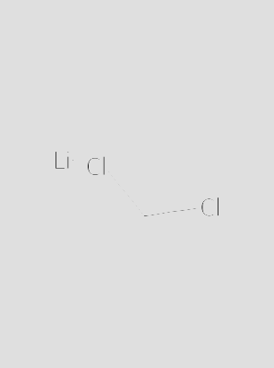 ClCCl.[Li]